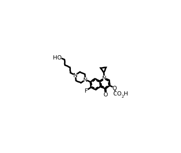 O=C(O)Oc1cn(C2CC2)c2cc(N3CCN(CCCCO)CC3)c(F)cc2c1=O